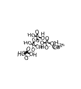 O=P([O-])(O)O.O=P([O-])(O)O.O=P([O-])(O)O.O=P([O-])(O)O.[Ca+2].[Ca+2]